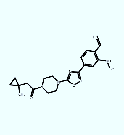 CC(C)Nc1cc(-c2noc(N3CCN(C(=O)CC4(C)CC4)CC3)n2)ccc1C=N